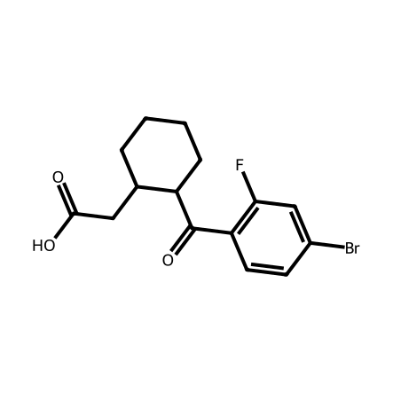 O=C(O)CC1CCCCC1C(=O)c1ccc(Br)cc1F